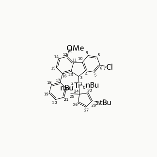 CCC[CH2][Ti]([CH2]CCC)([CH]1c2cc(Cl)ccc2-c2c(OC)ccc(-c3ccccc3)c21)[C]1(C)C=CC(C(C)(C)C)=C1